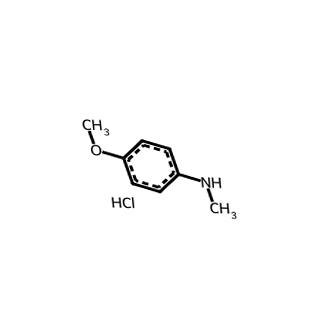 CNc1ccc(OC)cc1.Cl